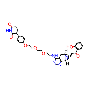 O=C1CCC(c2ccc(OCCOCCOCCNc3ncnc4c3C[C@@H]3CC[C@H]4N3/C=C/C(=O)c3ccccc3O)cc2)C(=O)N1